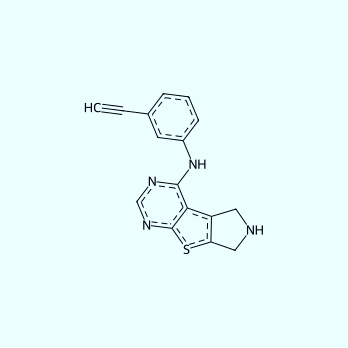 C#Cc1cccc(Nc2ncnc3sc4c(c23)CNC4)c1